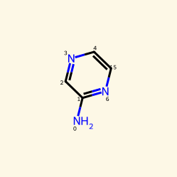 Nc1cnc[c]n1